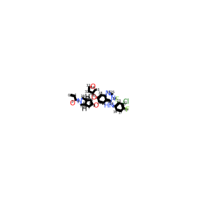 C=CC(=O)N1C[C@H]2C[C@@H](Oc3cc4c(Nc5ccc(F)c(Cl)c5F)ncnc4cc3O[C@H]3CCOC3)C[C@H]2C1